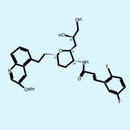 COc1cnc2cccc(CC[C@H]3CC[C@@H](NC(=O)/C=C/c4cc(F)ccc4F)[C@H](C[C@@H](O)CO)O3)c2c1